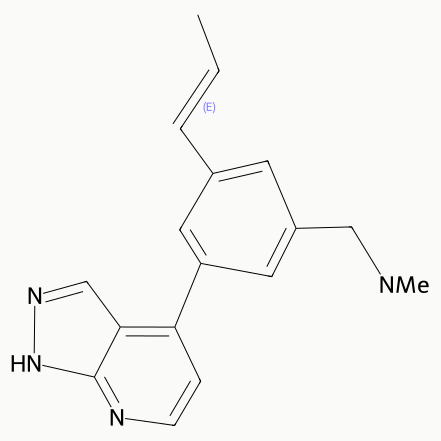 C/C=C/c1cc(CNC)cc(-c2ccnc3[nH]ncc23)c1